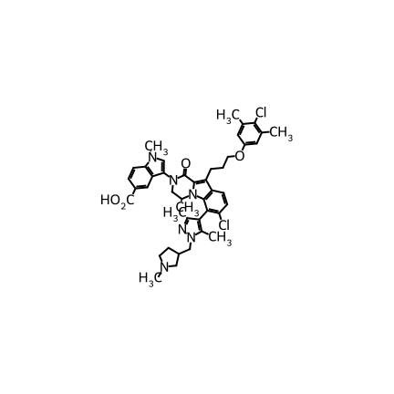 Cc1cc(OCCCc2c3n(c4c(-c5c(C)nn(CC6CCN(C)C6)c5C)c(Cl)ccc24)[C@H](C)CN(c2cn(C)c4ccc(C(=O)O)cc24)C3=O)cc(C)c1Cl